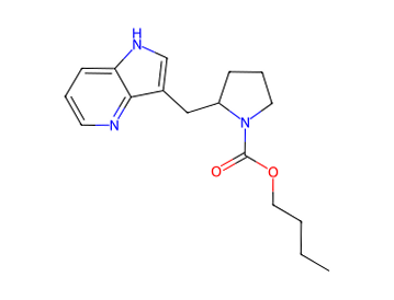 CCCCOC(=O)N1CCCC1Cc1c[nH]c2cccnc12